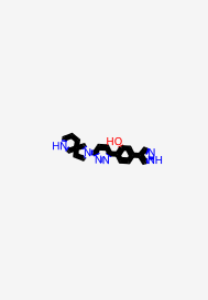 Oc1cc(-c2cn[nH]c2)ccc1-c1ccc(N2CCC3(CCCNC3)C2)nn1